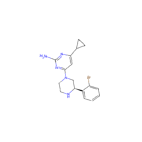 Nc1nc(C2CC2)cc(N2CCN[C@H](c3ccccc3Br)C2)n1